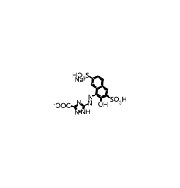 O=C([O-])c1n[nH]c(N=Nc2c(O)c(S(=O)(=O)O)cc3ccc(S(=O)(=O)O)cc23)n1.[Na+]